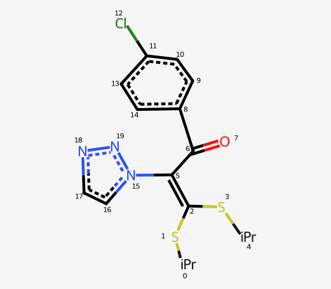 CC(C)SC(SC(C)C)=C(C(=O)c1ccc(Cl)cc1)n1ccnn1